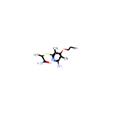 CC(C)CCOc1c(C#N)c(N)nc(SC(C)C(N)=O)c1C#N